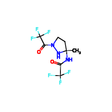 CC1(NC(=O)C(F)(F)F)CCN(C(=O)C(F)(F)F)N1